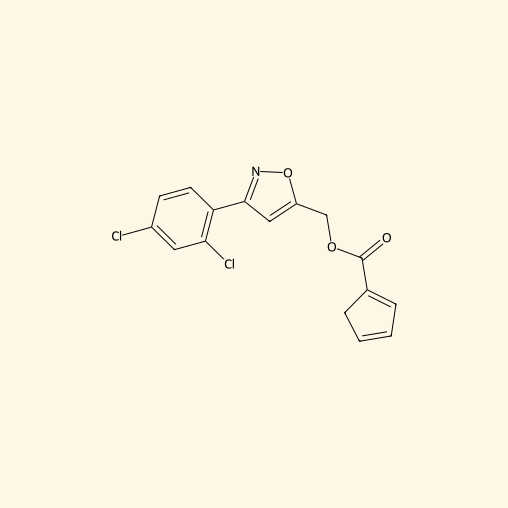 O=C(OCc1cc(-c2ccc(Cl)cc2Cl)no1)C1=CC=CC1